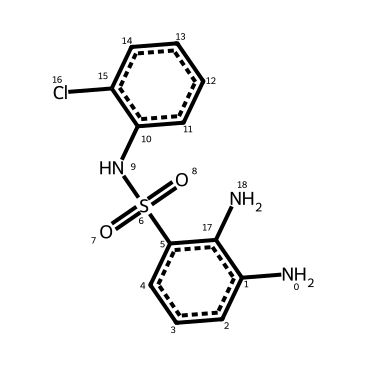 Nc1cccc(S(=O)(=O)Nc2ccccc2Cl)c1N